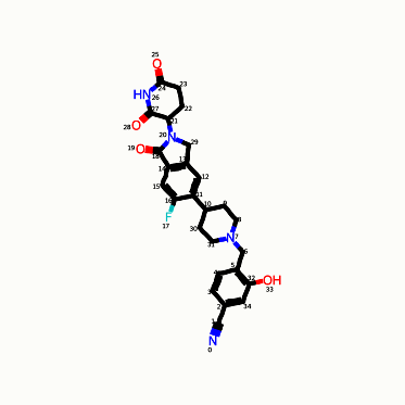 N#Cc1ccc(CN2CCC(c3cc4c(cc3F)C(=O)N(C3CCC(=O)NC3=O)C4)CC2)c(O)c1